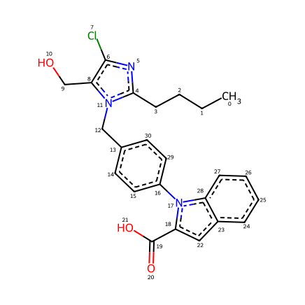 CCCCc1nc(Cl)c(CO)n1Cc1ccc(-n2c(C(=O)O)cc3ccccc32)cc1